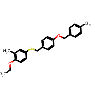 Cc1cc(SCc2ccc(OCc3ccc(C(F)(F)F)cc3)cc2)ccc1OCC(=O)O